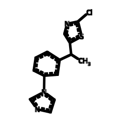 CC(c1cccc(-n2ccnc2)c1)c1cnc(Cl)s1